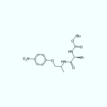 CC(COc1ccc([N+](=O)[O-])cc1)NC(=O)[C@@H](NC(=O)OC(C)(C)C)C(C)C